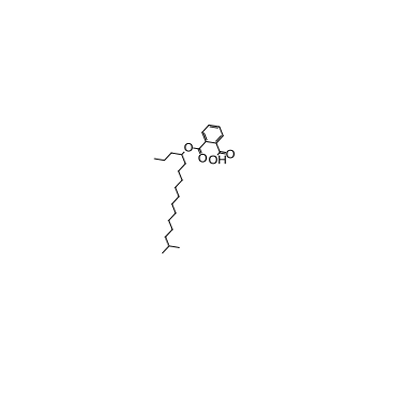 CCCC(CCCCCCCCCCC(C)C)OC(=O)c1ccccc1C(=O)O